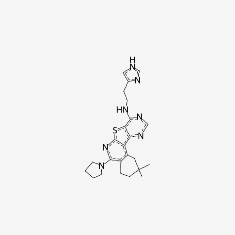 CC1(C)CCc2c(N3CCCC3)nc3sc4c(NCCc5c[nH]cn5)ncnc4c3c2C1